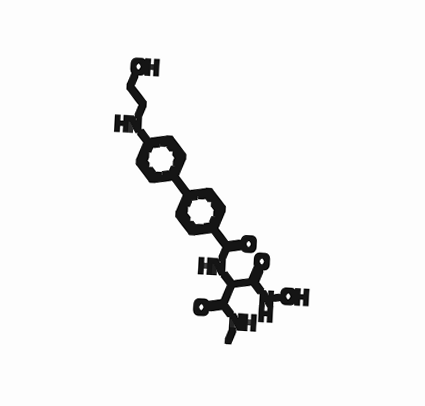 CNC(=O)C(NC(=O)c1ccc(-c2ccc(NCCO)cc2)cc1)C(=O)NO